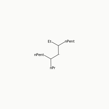 CCCCCC([CH]C(CCC)CCCCC)CC